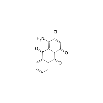 NC1=C2C(=O)c3ccccc3C(=O)C2C(=O)C=C1Cl